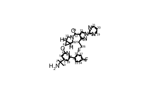 CC(C)(N)c1cc(O[C@@H]2[C@@H]3CN(C(=O)c4cn(-c5ncccn5)nc4CCF)C[C@@H]32)nc(-c2ccc(F)cc2)c1